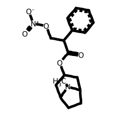 CN1C2CCC1CC(OC(=O)C(CO[N+](=O)[O-])c1ccccc1)C2